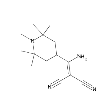 CN1C(C)(C)CC(C(N)=C(C#N)C#N)CC1(C)C